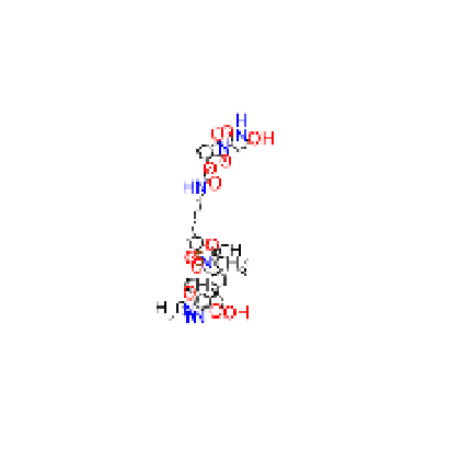 COc1cc(C(CC(=O)O)c2ccc(C)c(CN3C[C@@H](C)Oc4cc(CCCCCCNC(=O)COc5cccc6c5C(=O)N(C5CCC(O)NC5=O)C6=O)ccc4S3(=O)=O)c2)cc2nnn(C)c12